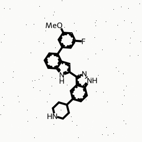 COc1cc(F)cc(-c2cccc3[nH]c(-c4n[nH]c5ccc(C6CCNCC6)cc45)cc23)c1